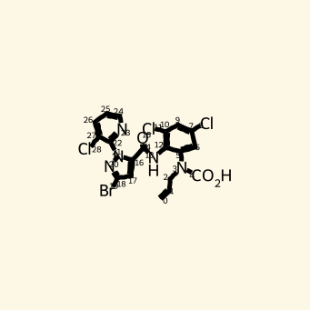 C=CCN(C(=O)O)c1cc(Cl)cc(Cl)c1NC(=O)c1cc(Br)nn1-c1ncccc1Cl